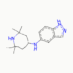 CC1(C)CC(Nc2ccc3[nH]ncc3c2)CC(C)(C)N1